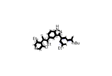 CCCC/C(C)=C/C=C(\C=C(/C)CC)c1n[nH]c2ccc(C(CC)C(C)c3c(Cl)cncc3CC)cc12